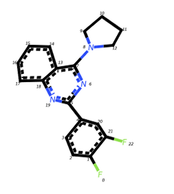 Fc1ccc(-c2nc(N3CCCC3)c3ccccc3n2)cc1F